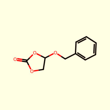 O=C1OCC(OCc2ccccc2)O1